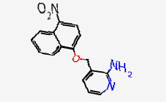 Nc1ncccc1COc1ccc([N+](=O)[O-])c2ccccc12